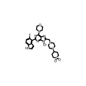 CCn1c(CN2CCN(C3CCS(=O)(=O)CC3)CC2)nc2c(N3CCOCC3)nc(-c3c(F)ccc4[nH]ccc34)nc21